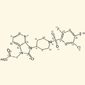 O=C(O)Cn1c(=O)n(C2CCN(S(=O)(=O)c3cc(Cl)c(F)cc3F)CC2)c2ncccc21